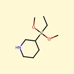 CC[Si](OC)(OC)C1CCCNC1